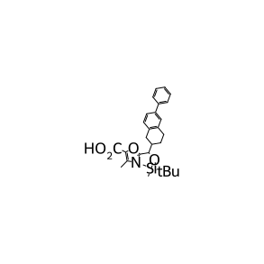 Cc1nc(C(O[Si](C)(C)C(C)(C)C)C2CCc3cc(-c4ccccc4)ccc3C2)oc1C(=O)O